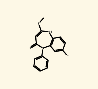 CSC1=CC(=O)N(c2ccccc2)c2cc(Cl)ccc2N1